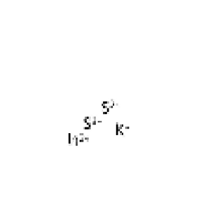 [In+3].[K+].[S-2].[S-2]